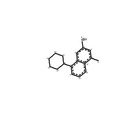 Cc1cc(C(C)(C)C)cc2c(C3CCCCC3)cccc12